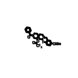 COc1ccc(F)c(CN2CCC3(CC2)CCN(C(=O)c2ccccc2)CC3OC(=O)C(F)(F)F)c1